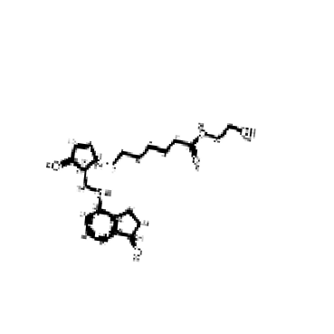 O=C(CCCCCC[C@H]1C=CC(=O)[C@@H]1CSc1cccc2c1CCC2=O)OCCO